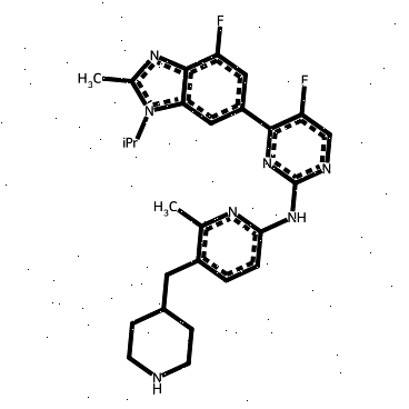 Cc1nc(Nc2ncc(F)c(-c3cc(F)c4nc(C)n(C(C)C)c4c3)n2)ccc1CC1CCNCC1